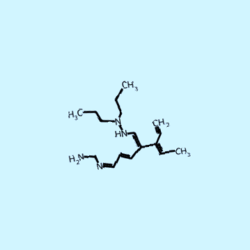 C=CC(=C\C)/C(/C=C/C=N\CN)=C/NN(CCC)CCC